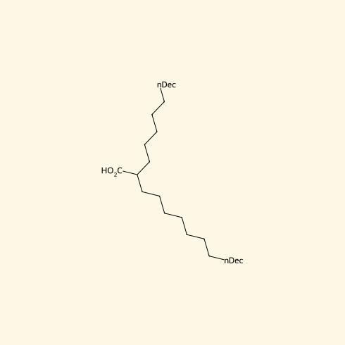 CCCCCCCCCCCCCCCCCC(CCCCCCCCCCCCCCC)C(=O)O